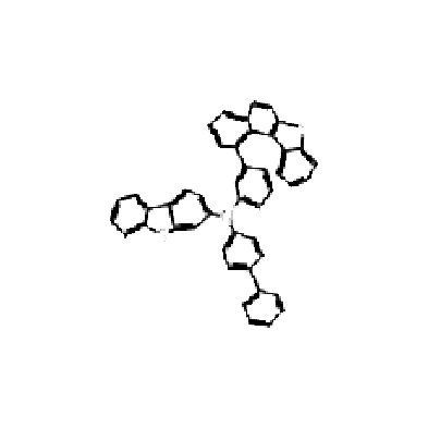 c1ccc(-c2ccc(N(c3cccc(-c4cccc5ccc6sc7ccccc7c6c45)c3)c3ccc4c(c3)sc3ccccc34)cc2)cc1